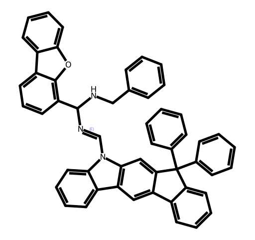 C(=N\C(NCc1ccccc1)c1cccc2c1oc1ccccc12)/n1c2ccccc2c2cc3c(cc21)C(c1ccccc1)(c1ccccc1)c1ccccc1-3